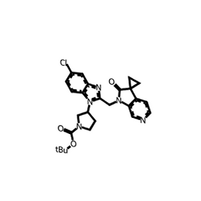 CC(C)(C)OC(=O)N1CCC(n2c(CN3C(=O)C4(CC4)c4ccncc43)nc3cc(Cl)ccc32)C1